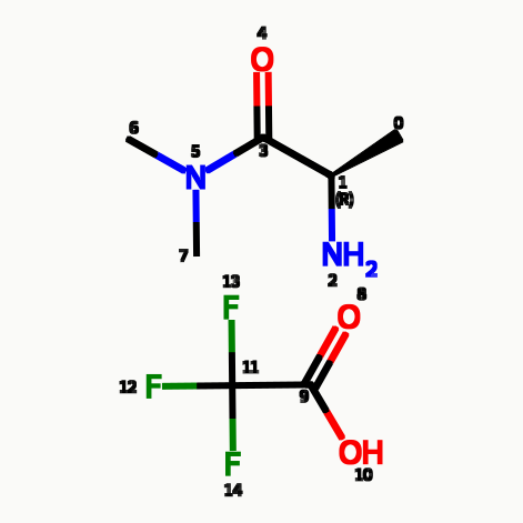 C[C@@H](N)C(=O)N(C)C.O=C(O)C(F)(F)F